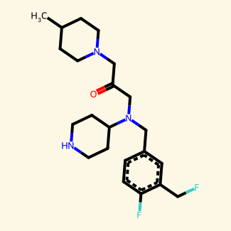 CC1CCN(CC(=O)CN(Cc2ccc(F)c(CF)c2)C2CCNCC2)CC1